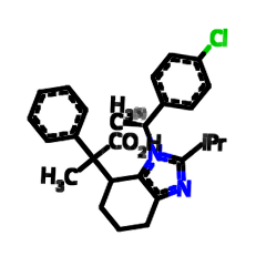 CC(C)c1nc2c(n1[C@@H](C)c1ccc(Cl)cc1)C(C(C)(C(=O)O)c1ccccc1)CCC2